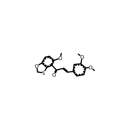 COc1ccc(C=CC(=O)c2c(OC)ccc3c2SCO3)cc1OC